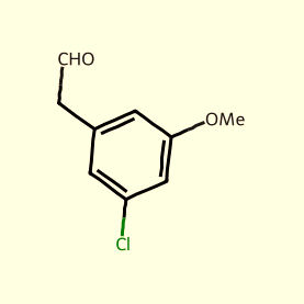 COc1cc(Cl)cc(CC=O)c1